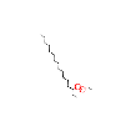 CCCCCCCCCCCCCC(CC)OOCC